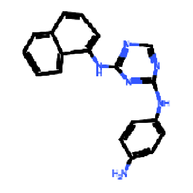 Nc1ccc(Nc2ncnc(Nc3cccc4ccccc34)n2)cc1